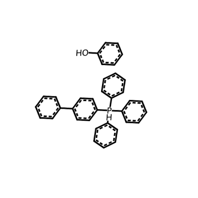 Oc1ccccc1.c1ccc(-c2ccc([PH](c3ccccc3)(c3ccccc3)c3ccccc3)cc2)cc1